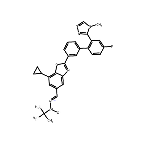 Cn1cnnc1-c1cc(F)ccc1-c1cccc(-c2nc3cc(/C=N/[S+]([O-])C(C)(C)C)cc(C4CC4)c3o2)c1